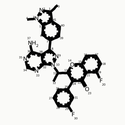 Cc1nn(C)c2cc(-c3nn(C(C)c4oc5cccc(F)c5c(=O)c4-c4cccc(F)c4)c4ncnc(N)c34)ccc12